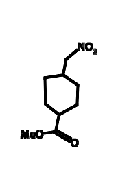 COC(=O)C1CCC(C[N+](=O)[O-])CC1